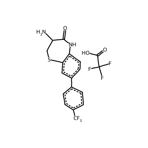 NC1CSc2cc(-c3ccc(C(F)(F)F)cc3)ccc2NC1=O.O=C(O)C(F)(F)F